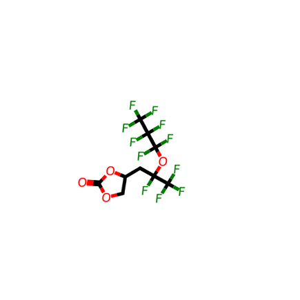 O=C1OCC(CC(F)(OC(F)(F)C(F)(F)C(F)(F)F)C(F)(F)F)O1